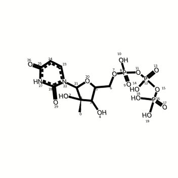 C[C@]1(O)C(O)C(COP(=O)(O)OP(=O)(O)OP(=O)(O)O)OC1n1ccc(=O)[nH]c1=O